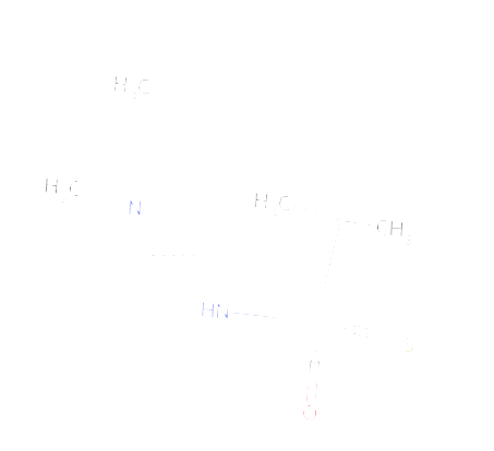 CCN(C)CCNc1c(C(C)C)c(=S)c1=O